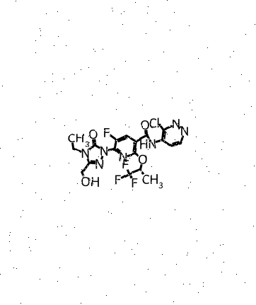 CCn1c(CO)nn(-c2nc(O[C@@H](C)C(F)(F)F)c(C(=O)Nc3ccnnc3Cl)cc2F)c1=O